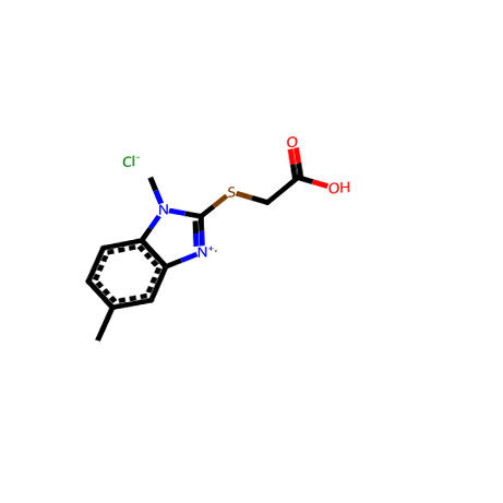 Cc1ccc2c(c1)[N+]=C(SCC(=O)O)N2C.[Cl-]